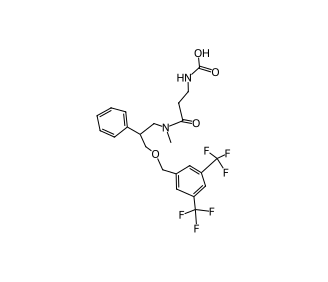 CN(CC(COCc1cc(C(F)(F)F)cc(C(F)(F)F)c1)c1ccccc1)C(=O)CCNC(=O)O